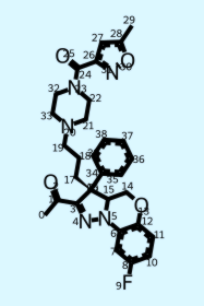 CC(=O)C1=NN2c3cc(F)ccc3OCC2[C@@]1(CCCN1CCN(C(=O)c2cc(C)on2)CC1)c1ccccc1